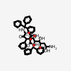 NC(=O)C[C@H](NC(c1ccccc1)(c1ccccc1)c1ccccc1)C(=O)C(c1ccccc1)C(N)(C(=O)OC(c1ccccc1)c1ccccc1)C(=O)C(O)C(O)C(O)CC(N)O